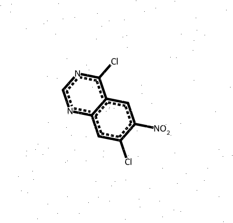 O=[N+]([O-])c1cc2c(Cl)ncnc2cc1Cl